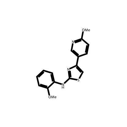 COc1ccc(-c2csc(Nc3ccccc3OC)n2)cn1